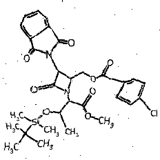 COC(=O)C(C(C)O[Si](C)(C)C(C)(C)C)N1C(=O)C(N2C(=O)c3ccccc3C2=O)C1COC(=O)c1ccc(Cl)cc1